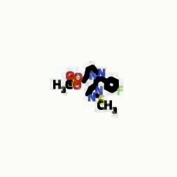 CSc1nccc(-c2c(-c3ccc(F)cc3)nc3n2C(COS(C)(=O)=O)CC3)n1